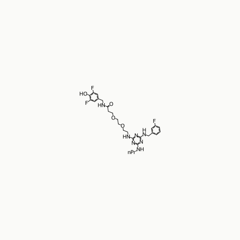 CCCNc1nc(NCCOCCOCCC(=O)NCc2cc(F)c(O)c(F)c2)nc(NCc2cccc(F)c2)n1